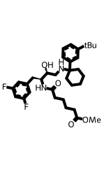 COC(=O)CCCCC(=O)N[C@@H](Cc1cc(F)cc(F)c1)[C@@H](O)CNC1(c2cccc(C(C)(C)C)c2)CCCCC1